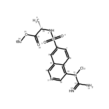 C[C@H](NS(=O)(=O)c1ccc2c(N(Cl)C(=N)N)cncc2c1)C(=O)OC(C)(C)C